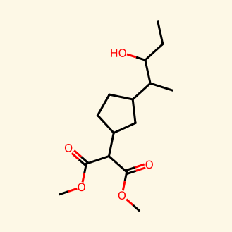 CCC(O)C(C)C1CCC(C(C(=O)OC)C(=O)OC)C1